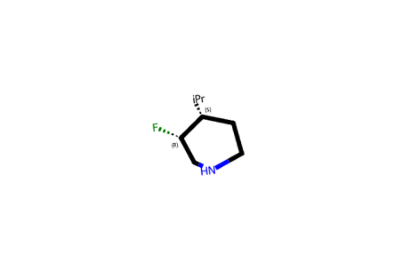 CC(C)[C@@H]1CCNC[C@@H]1F